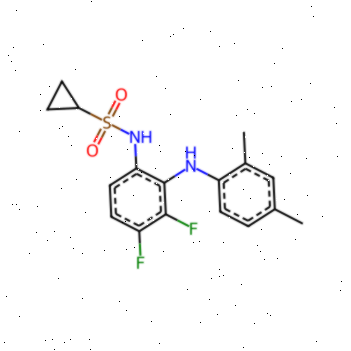 Cc1ccc(Nc2c(NS(=O)(=O)C3CC3)ccc(F)c2F)c(C)c1